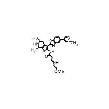 COCCNCCC(=O)Nc1sc2c(c1-c1nc3cc(-c4cnn(C)c4)ccc3s1)C[C@@H](C)N[C@@H]2C